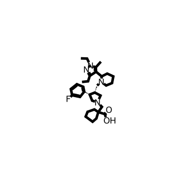 CCc1nn(CC)c(C)c1C1CCCCN1C[C@@H]1CN(CC2(C(=O)O)CCCCC2)C[C@@H]1c1cccc(F)c1